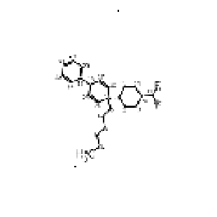 CCCCCCC1([C@H]2CC[C@H](C(F)F)CC2)C=CC(c2ccccc2)C=C1